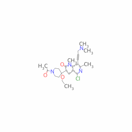 CCOC1(c2cc3c(Cl)nc(C)c(C#CCN(C)C)c3n(C)c2=O)CCN(C(C)=O)CC1